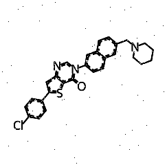 O=c1c2sc(-c3ccc(Cl)cc3)cc2ncn1-c1ccc2cc(CN3CCCCC3)ccc2c1